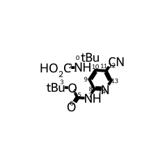 CC(C)(C)NC(=O)O.CC(C)(C)OC(=O)Nc1ccc(C#N)cn1